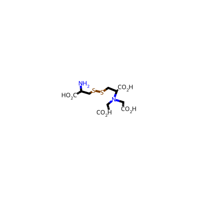 NC(CSSC[C@@H](C(=O)O)N(CC(=O)O)CC(=O)O)C(=O)O